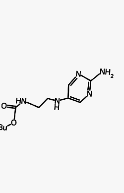 CC(C)(C)OC(=O)NCCNc1cnc(N)nc1